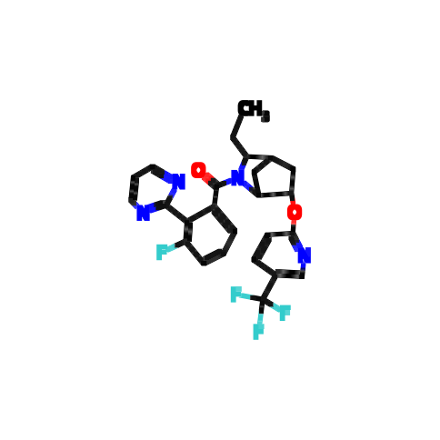 CCC1C2CC(Oc3ccc(C(F)(F)F)cn3)C(C2)N1C(=O)c1cccc(F)c1-c1ncccn1